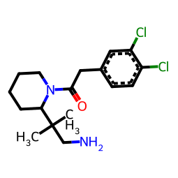 CC(C)(CN)C1CCCCN1C(=O)Cc1ccc(Cl)c(Cl)c1